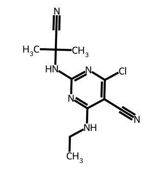 CCNc1nc(NC(C)(C)C#N)nc(Cl)c1C#N